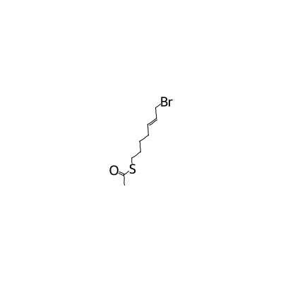 CC(=O)SCCCC/C=C/CBr